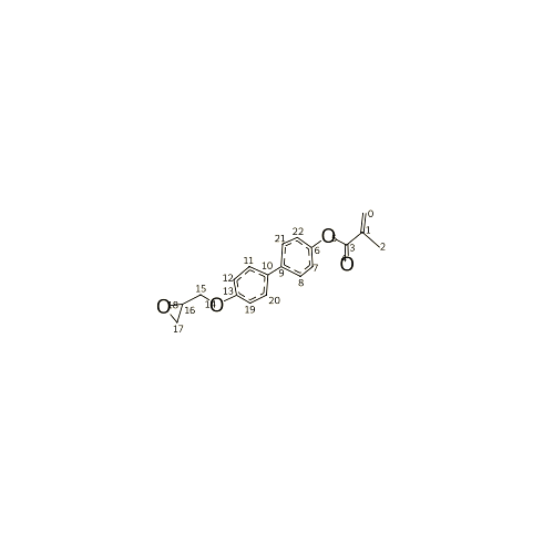 C=C(C)C(=O)Oc1ccc(-c2ccc(OCC3CO3)cc2)cc1